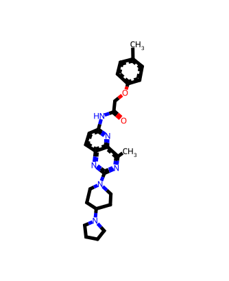 Cc1ccc(OCC(=O)Nc2ccc3nc(N4CCC(N5CCCC5)CC4)nc(C)c3n2)cc1